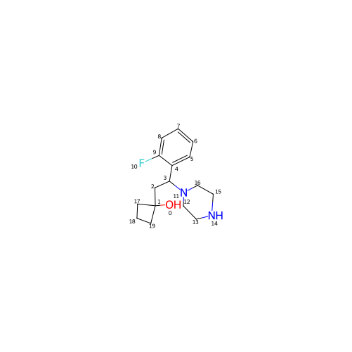 OC1(CC(c2ccccc2F)N2CCNCC2)CCC1